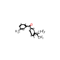 Cc1cccc(C(=O)c2cccc(C(C)C)c2)c1